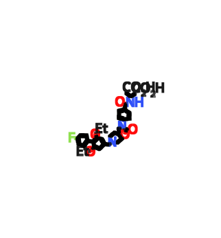 CCOc1cc(CN2CCC3(CC2)CN(c2ccc(C(=O)NC(CC(=O)O)CC(=O)O)cc2)C(=O)O3)cc(OCC)c1-c1ccc(F)cc1